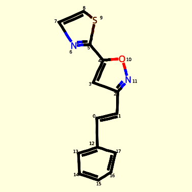 C(=C\c1cc(-c2nccs2)on1)/c1ccccc1